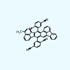 Cc1ccc2c3c(-c4cc(C#N)ccc4C#N)c4c(cc5c6ccccc6c6cccc4c65)c(-c4cc(C#N)ccc4C#N)c3c3cccc1c32